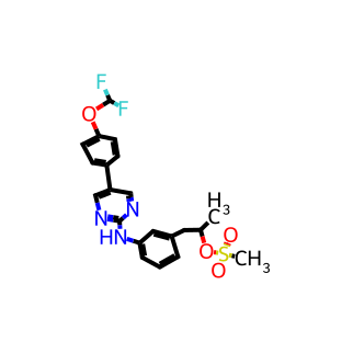 CC(Cc1cccc(Nc2ncc(-c3ccc(OC(F)F)cc3)cn2)c1)OS(C)(=O)=O